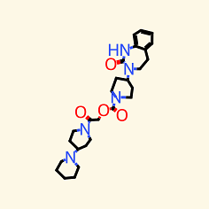 O=C(COC(=O)N1CCC(N2CCc3ccccc3NC2=O)CC1)N1CCC(N2CCCCC2)CC1